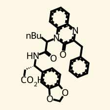 CCCCC(C(=O)N[C@@H](CC(=O)O)c1ccc2c(c1)OCO2)n1c(=O)c(Cc2ccccc2)nc2ccccc21